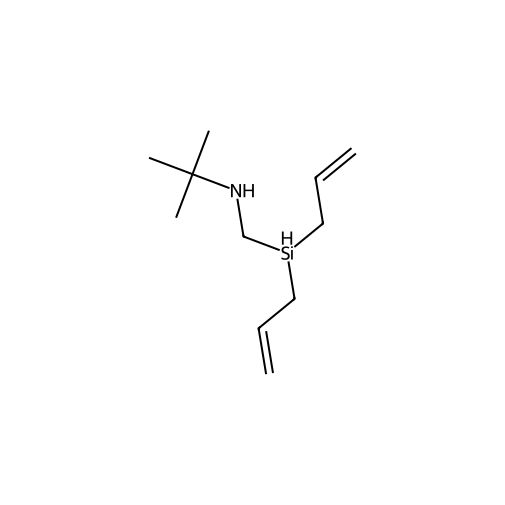 C=CC[SiH](CC=C)CNC(C)(C)C